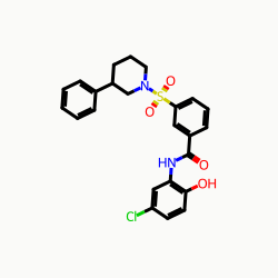 O=C(Nc1cc(Cl)ccc1O)c1cccc(S(=O)(=O)N2CCCC(c3ccccc3)C2)c1